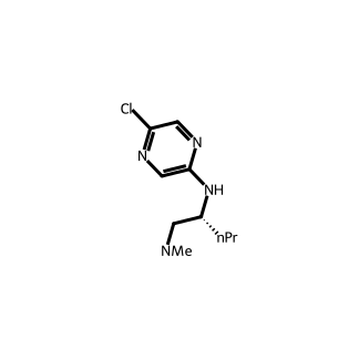 CCC[C@H](CNC)Nc1cnc(Cl)cn1